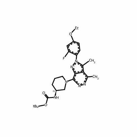 CCOc1ccc(-n2nc3c(N4CCC[C@H](NC(=O)OC(C)(C)C)C4)nnc(C)c3c2C)c(F)c1